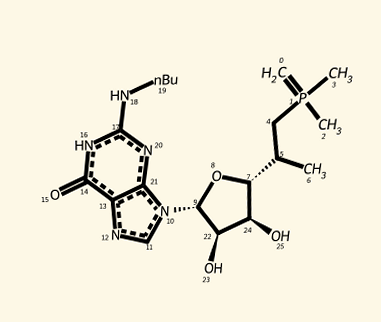 C=P(C)(C)CC(C)[C@H]1O[C@@H](n2cnc3c(=O)[nH]c(NCCCC)nc32)[C@H](O)[C@@H]1O